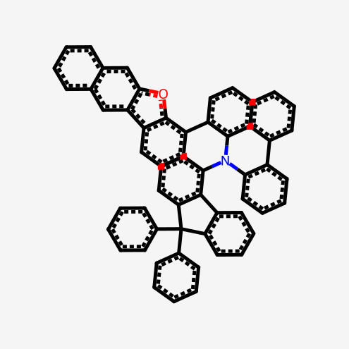 c1ccc(-c2ccccc2N(c2ccccc2-c2cccc3c2oc2cc4ccccc4cc23)c2cccc3c2-c2ccccc2C3(c2ccccc2)c2ccccc2)cc1